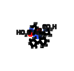 CC(C)(C)[C@]1(C(=O)Nc2ccccc2-c2ccccc2NC(=O)[C@@H]2CCCN2C(=O)O)CCCN1C(=O)O